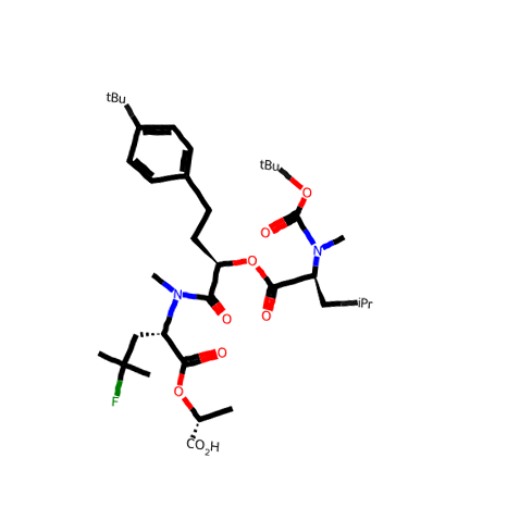 CC(C)C[C@@H](C(=O)O[C@H](CCc1ccc(C(C)(C)C)cc1)C(=O)N(C)[C@@H](CC(C)(C)F)C(=O)O[C@H](C)C(=O)O)N(C)C(=O)OC(C)(C)C